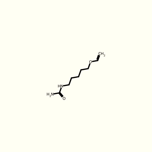 C=COCCCCCNC(N)=O